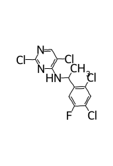 CC(Nc1nc(Cl)ncc1Cl)c1cc(F)c(Cl)cc1Cl